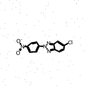 O=[N+]([O-])c1ccc(-n2nc3ccc(Cl)cc3n2)cc1